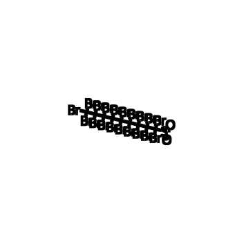 O=[S](=O)C(Br)(Br)C(Br)(Br)C(Br)(Br)C(Br)(Br)C(Br)(Br)C(Br)(Br)C(Br)(Br)C(Br)(Br)C(Br)(Br)Br